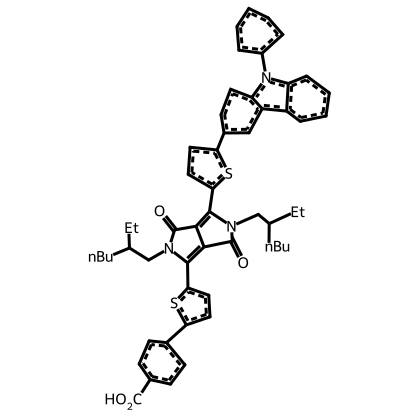 CCCCC(CC)CN1C(=O)C2=C(c3ccc(-c4ccc5c(c4)c4ccccc4n5-c4ccccc4)s3)N(CC(CC)CCCC)C(=O)C2=C1c1ccc(-c2ccc(C(=O)O)cc2)s1